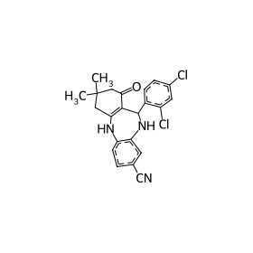 CC1(C)CC(=O)C2=C(C1)Nc1ccc(C#N)cc1NC2c1ccc(Cl)cc1Cl